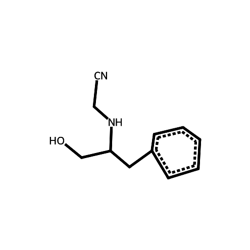 N#CCNC(CO)Cc1ccccc1